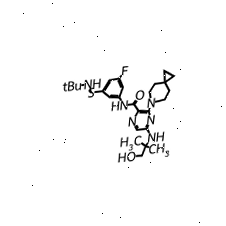 CC(C)(C)NSc1cc(F)cc(NC(=O)c2ncc(NC(C)(C)CO)nc2N2CCC3(CC2)CC3)c1